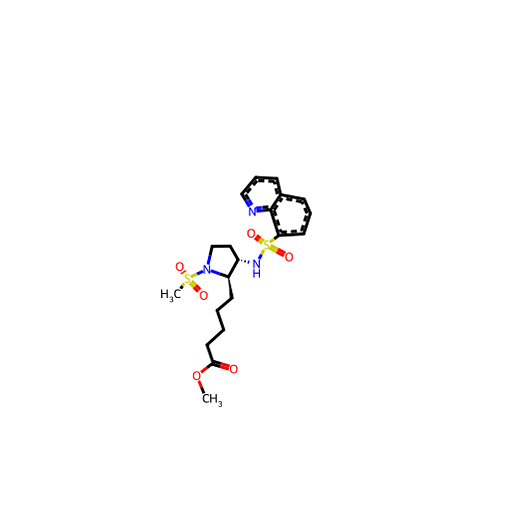 COC(=O)CCCC[C@@H]1[C@@H](NS(=O)(=O)c2cccc3cccnc23)CCN1S(C)(=O)=O